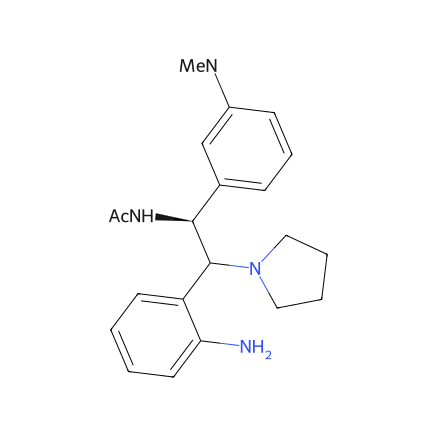 CNc1cccc([C@H](NC(C)=O)C(c2ccccc2N)N2CCCC2)c1